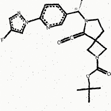 C[C@@H](c1ccc(-n2cc(F)cn2)nc1)N1CCC2(CN(C(=O)OC(C)(C)C)C2)C1=C=O